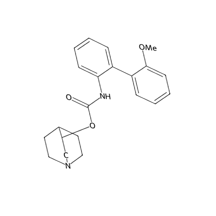 COc1ccccc1-c1ccccc1NC(=O)OC1CN2CCC1CC2